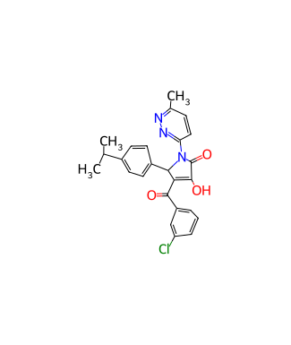 Cc1ccc(N2C(=O)C(O)=C(C(=O)c3cccc(Cl)c3)C2c2ccc(C(C)C)cc2)nn1